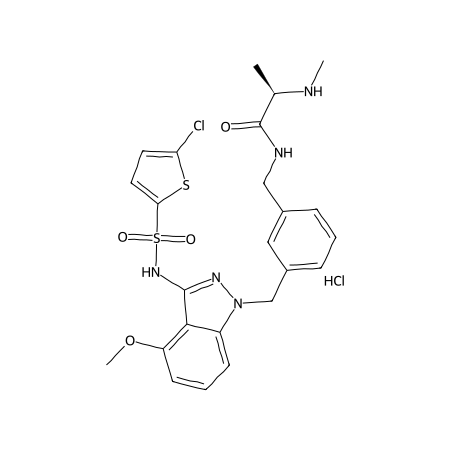 CN[C@H](C)C(=O)NCc1cccc(Cn2nc(NS(=O)(=O)c3ccc(Cl)s3)c3c(OC)cccc32)c1.Cl